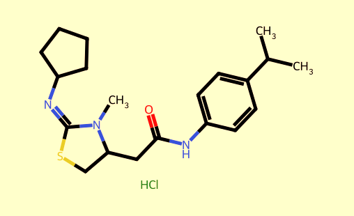 CC(C)c1ccc(NC(=O)CC2CSC(=NC3CCCC3)N2C)cc1.Cl